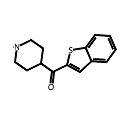 O=C(c1cc2ccccc2s1)C1CC[N]CC1